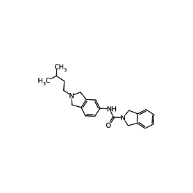 CC(C)CCN1Cc2ccc(NC(=O)N3Cc4ccccc4C3)cc2C1